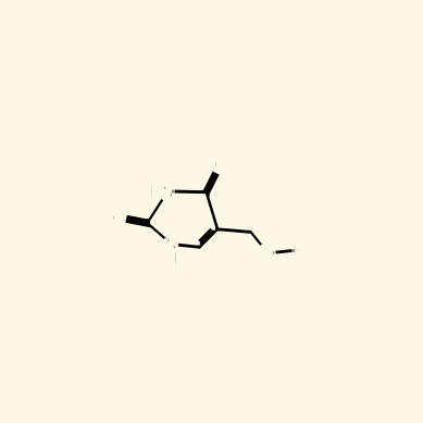 CCOCc1c[nH]c(=O)[nH]c1=O